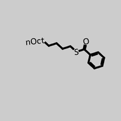 CCCCCCCCCCCCSC(=O)c1ccccc1